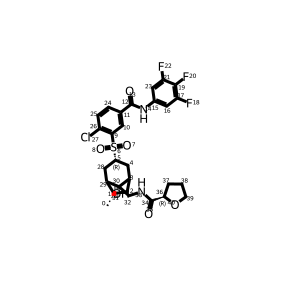 C[C@H]1CC2C[C@@H](S(=O)(=O)c3cc(C(=O)Nc4cc(F)c(F)c(F)c4)ccc3Cl)CC1[C@@]2(O)CNC(=O)[C@H]1CCCO1